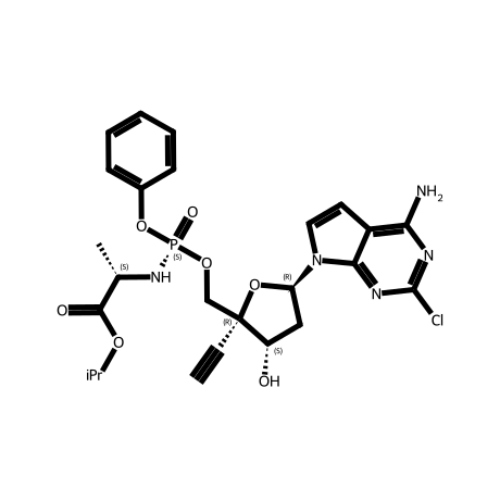 C#C[C@]1(CO[P@@](=O)(N[C@@H](C)C(=O)OC(C)C)Oc2ccccc2)O[C@@H](n2ccc3c(N)nc(Cl)nc32)C[C@@H]1O